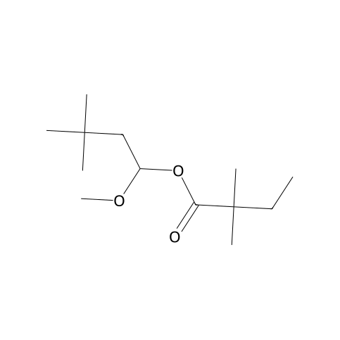 CCC(C)(C)C(=O)OC(CC(C)(C)C)OC